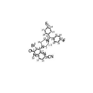 C[C@@H]1CN(c2c(Br)c(=O)n(C)c3ccc(C#N)nc23)CCN1C(c1ccc(F)cc1)c1ccc(F)cc1